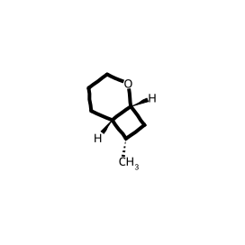 C[C@H]1C[C@H]2OCCC[C@@H]12